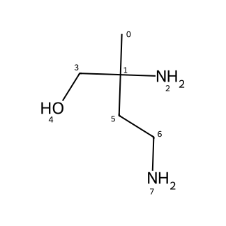 CC(N)(CO)CCN